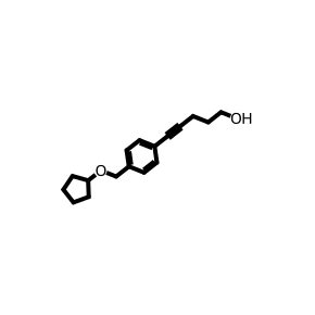 OCCCC#Cc1ccc(COC2CCCC2)cc1